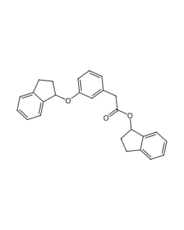 O=C(Cc1cccc(OC2CCc3ccccc32)c1)OC1CCc2ccccc21